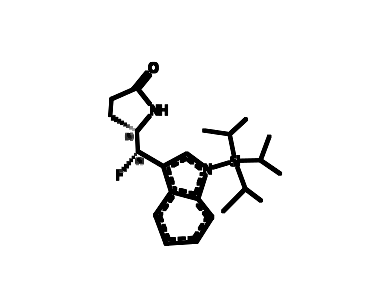 CC(C)[Si](C(C)C)(C(C)C)n1cc([C@H](F)[C@@H]2CCC(=O)N2)c2ccccc21